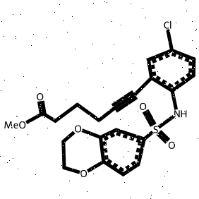 COC(=O)CCCC#Cc1cc(Cl)ccc1NS(=O)(=O)c1ccc2c(c1)OCCO2